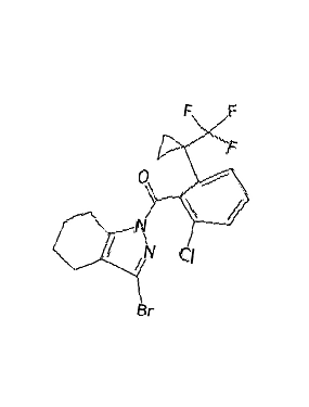 O=C(c1c(Cl)cccc1C1(C(F)(F)F)CC1)n1nc(Br)c2c1CCCC2